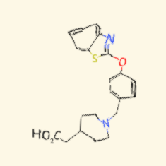 O=C(O)CC1CCN(Cc2ccc(Oc3nc4ccccc4s3)cc2)CC1